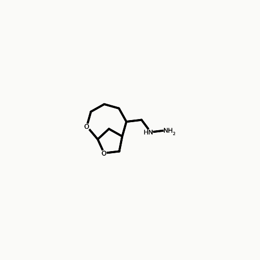 NNCC1CCCOC2CC1CO2